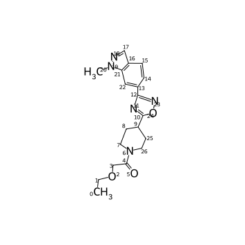 CCOCC(=O)N1CCC(c2nc(-c3ccc4cnn(C)c4c3)no2)CC1